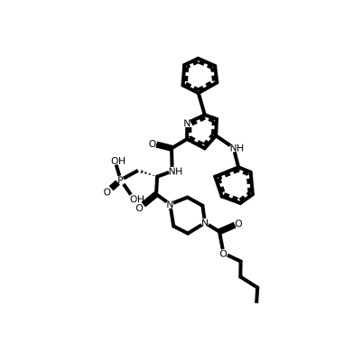 CCCCOC(=O)N1CCN(C(=O)[C@H](CP(=O)(O)O)NC(=O)c2cc(Nc3ccccc3)cc(-c3ccccc3)n2)CC1